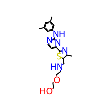 Cc1cc(C)cc(Nc2nccc(C3=NC(C)C(CNCCOCCO)S3)n2)c1